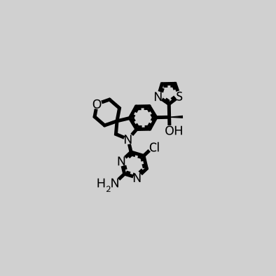 C[C@@](O)(c1ccc2c(c1)N(c1nc(N)ncc1Cl)CC21CCOCC1)c1nccs1